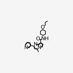 CCCO[C@H]1CC[C@H](NC(=O)c2ccn3c(C)cc(-c4cccnc4)nc23)CC1